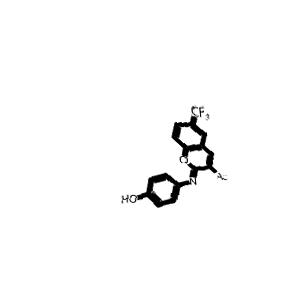 CC(=O)c1cc2cc(C(F)(F)F)ccc2o/c1=N\c1ccc(O)cc1